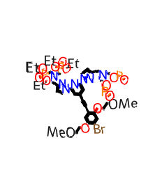 CCOP(=O)(CN(Cc1ccn(-c2cc(C#Cc3cc(OCCOC)c(Br)cc3OCCOC)cc(-n3ccc(CN(COP=O)COP=O)n3)n2)n1)CP(=O)(OCC)OCC)OCC